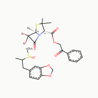 CC1(C)S[C@H]2N(C(=O)C2(Br)Br)[C@H]1C(=O)OCC(=O)c1ccccc1.CCCCCCCC[S+]([O-])C(C)Cc1ccc2c(c1)OCO2